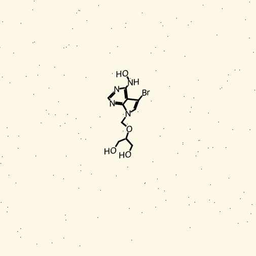 OCC(CO)OCn1cc(Br)c2c(NO)ncnc21